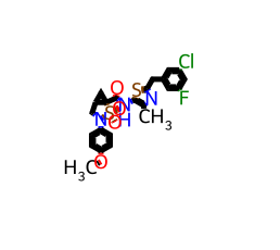 COc1ccc(N2CC3CC3(C(=O)Nc3sc(Cc4cc(F)cc(Cl)c4)nc3C)S2(=O)=O)cc1